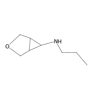 CCCNC1C2COCC21